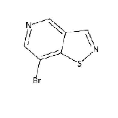 Brc1cncc2cnsc12